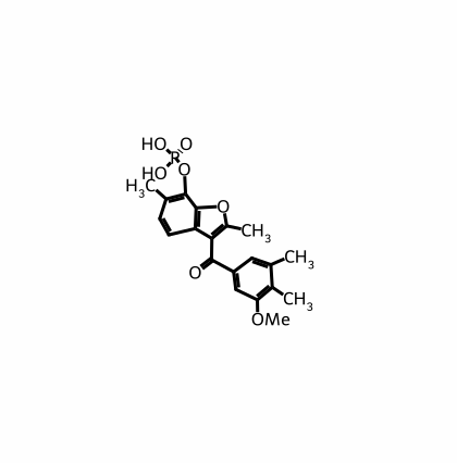 COc1cc(C(=O)c2c(C)oc3c(OP(=O)(O)O)c(C)ccc23)cc(C)c1C